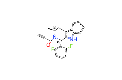 C#CC(=O)N1[C@@H](c2c(F)cccc2F)c2[nH]c3ccccc3c2C[C@@H]1C